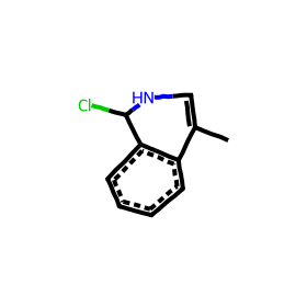 CC1=CNC(Cl)c2ccccc21